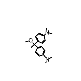 COC(C)(c1ccc(N(C)C)cc1)c1ccc(N(C)C)cc1